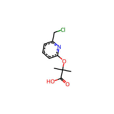 CC(C)(Oc1cccc(CCl)n1)C(=O)O